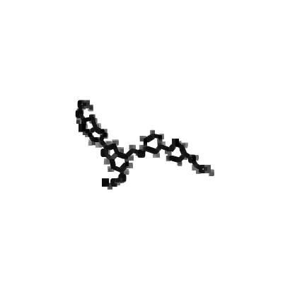 CCOc1ccc(-c2cccc(OCc3cc(OC)cc4oc(-c5cn6nc(OC)sc6n5)cc34)c2)nc1